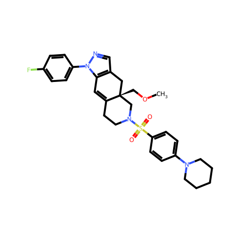 COC[C@]12Cc3cnn(-c4ccc(F)cc4)c3C=C1CCN(S(=O)(=O)c1ccc(N3CCCCC3)cc1)C2